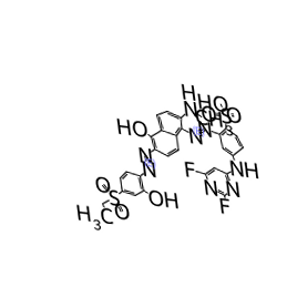 CCS(=O)(=O)c1ccc(/N=N/c2ccc3c(/N=N/c4cc(Nc5cc(F)nc(F)n5)ccc4S(=O)(=O)O)c(NC)ccc3c2O)c(O)c1